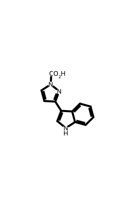 O=C(O)n1ccc(-c2c[nH]c3ccccc23)n1